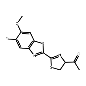 COc1cc2sc(C3=NC(C(C)=O)CS3)nc2cc1F